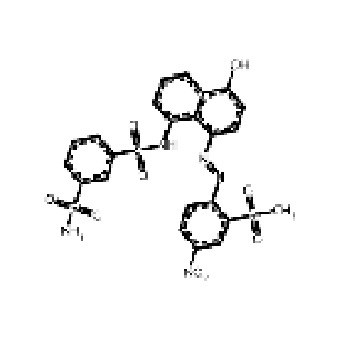 CS(=O)(=O)c1cc([N+](=O)[O-])ccc1/N=N/c1ccc(O)c2cccc(NS(=O)(=O)c3cccc(S(N)(=O)=O)c3)c12